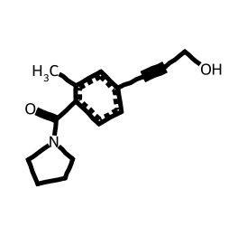 Cc1cc(C#CCO)ccc1C(=O)N1CCCC1